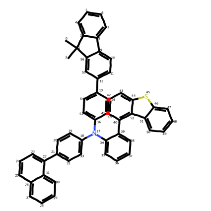 CC1(C)c2ccccc2-c2ccc(-c3ccc(N(c4ccc(-c5cccc6ccccc56)cc4)c4ccccc4-c4cccc5sc6ccccc6c45)cc3)cc21